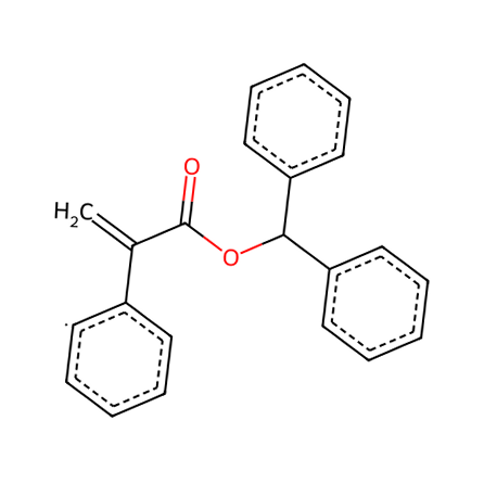 C=C(C(=O)OC(c1ccccc1)c1ccccc1)c1[c]cccc1